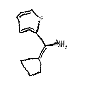 NC(=C1CCC1)c1cccs1